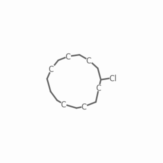 ClC1CCCCCCCCCCCCCC1